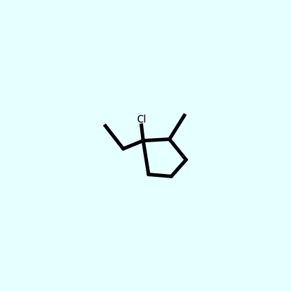 CCC1(Cl)CCC[C]1C